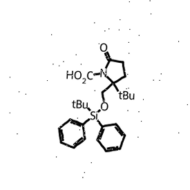 CC(C)(C)C1(CO[Si](c2ccccc2)(c2ccccc2)C(C)(C)C)CCC(=O)N1C(=O)O